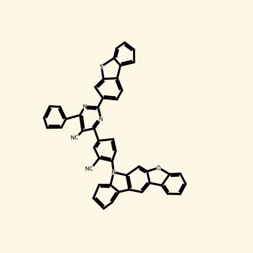 N#Cc1cc(-c2nc(-c3ccc4c(c3)sc3ccccc34)nc(-c3ccccc3)c2C#N)ccc1-n1c2ccccc2c2cc3c(cc21)oc1ccccc13